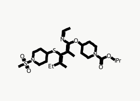 C\C=N/C(OC1CCN(C(=O)OC(C)C)CC1)=C(C)\C(SC1CCN(S(C)(=O)=O)CC1)=C(/C)CC